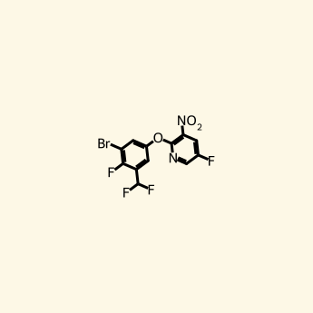 O=[N+]([O-])c1cc(F)cnc1Oc1cc(Br)c(F)c(C(F)F)c1